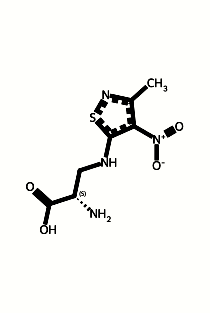 Cc1nsc(NC[C@H](N)C(=O)O)c1[N+](=O)[O-]